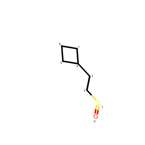 O=[S+]CCC1CCC1